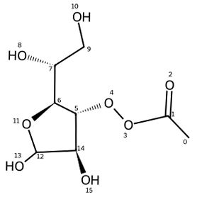 CC(=O)OO[C@H]1[C@H]([C@H](O)CO)OC(O)[C@@H]1O